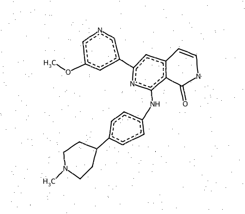 COc1cncc(-c2cc3c(c(Nc4ccc(C5CCN(C)CC5)cc4)n2)C(=O)[N]C=C3)c1